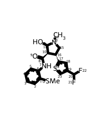 CSc1ccccc1NC(=O)[C@H]1C(O)N(C)C[C@@H]1c1cc(C(F)F)cs1